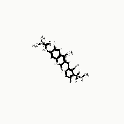 CNS(=O)(=O)c1c(F)ccc(Cc2c(C)c3cc(Cl)c(OC(=O)N(C)C)cc3oc2=O)c1F